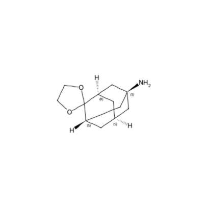 N[C@]12C[C@@H]3C[C@H](C1)C1(OCCO1)[C@@H](C3)C2